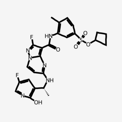 Cc1ccc(S(=O)(=O)OC2CCC2)cc1NC(=O)c1c(F)nn2ccc(N[C@H](C)c3cc(F)cnc3O)nc12